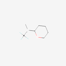 C[SiH](C1CCCCO1)C(F)(F)F